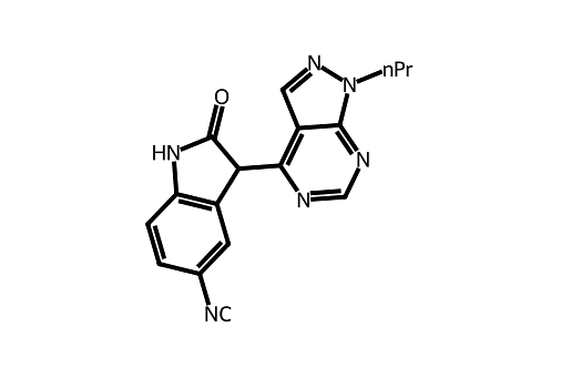 [C-]#[N+]c1ccc2c(c1)C(c1ncnc3c1cnn3CCC)C(=O)N2